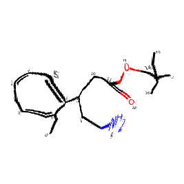 Cc1ccccc1C(CN)CC(=O)OC(C)(C)C